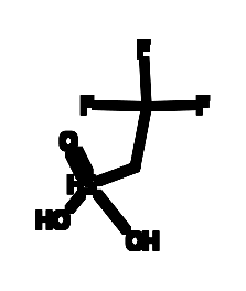 O=[SH](O)(O)CC(F)(F)F